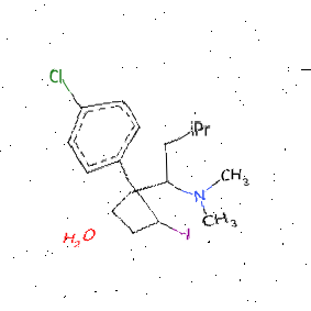 CC(C)CC(N(C)C)C1(c2ccc(Cl)cc2)CCC1I.O